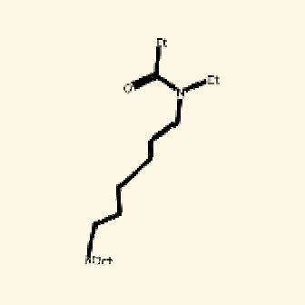 CCCCCCCCCCCCCCN(CC)C(=O)CC